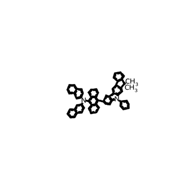 CC1(C)c2ccccc2-c2cc3c4cc(-c5c6ccccc6c(N(c6ccc7ccccc7c6)c6ccc7ccccc7c6)c6ccccc56)ccc4n(-c4ccccc4)c3cc21